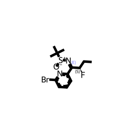 CC[C@H](F)/C(=N/[S+]([O-])C(C)(C)C)c1cccc(Br)n1